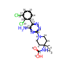 CC1(NC(=O)O)CCN(c2nnc(-c3cccc(Cl)c3Cl)c(N)n2)CC1